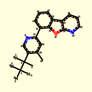 [2H]C([2H])([2H])C([2H])(C)c1cnc(-c2cccc3c2oc2ncccc23)cc1C